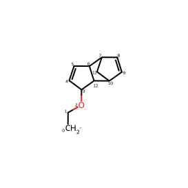 [CH2]COC1C=CC2C3C=CC(C3)C12